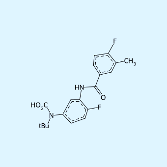 Cc1cc(C(=O)Nc2cc(N(C(=O)O)C(C)(C)C)ccc2F)ccc1F